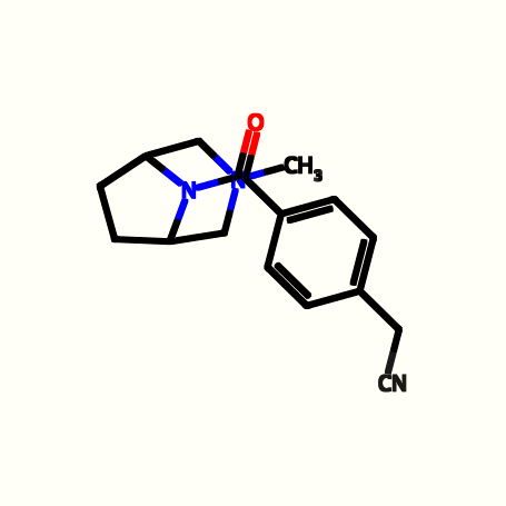 CN1CC2CCC(C1)N2C(=O)c1ccc(CC#N)cc1